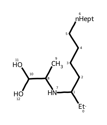 C[CH]C(CCCCCCCCCCC)NC(C)C(O)O